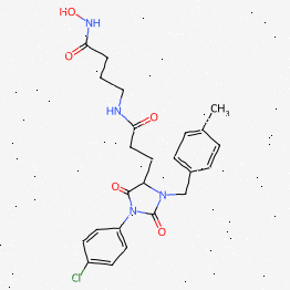 Cc1ccc(CN2C(=O)N(c3ccc(Cl)cc3)C(=O)C2CCC(=O)NCCCC(=O)NO)cc1